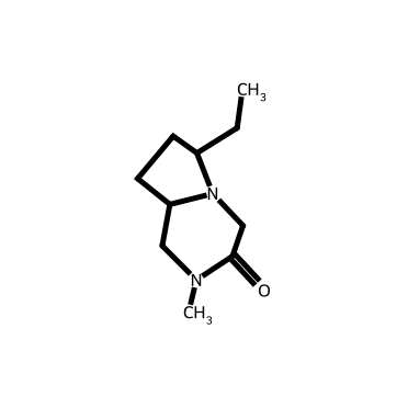 CCC1CCC2CN(C)C(=O)CN12